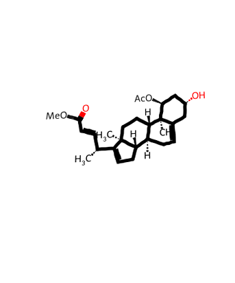 COC(=O)C=C[C@@H](C)C1=CC[C@H]2[C@@H]3CC=C4C[C@@H](O)C[C@H](OC(C)=O)[C@]4(C)[C@H]3CC[C@]12C